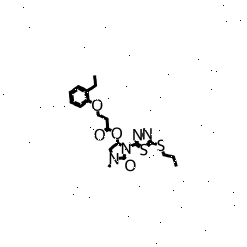 CCCSc1nnc(N2C(=O)N(C)CC2OC(=O)CCOc2ccccc2CC)s1